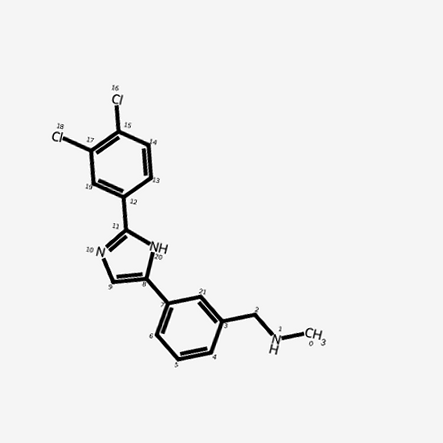 CNCc1cccc(-c2cnc(-c3ccc(Cl)c(Cl)c3)[nH]2)c1